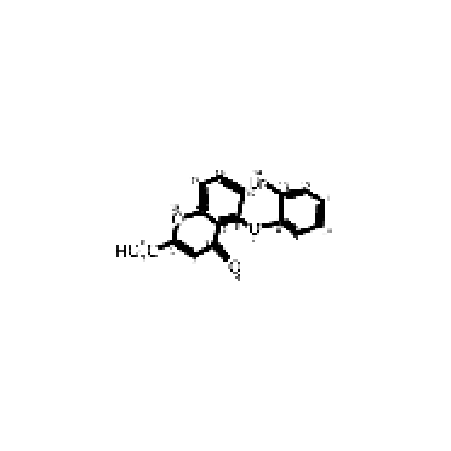 O=C(O)c1cc(=O)c2c(Oc3ccccc3Br)cccc2o1